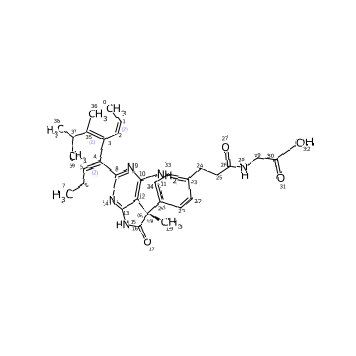 C\C=C/C(C(=C/CC)/c1nc(N)c2c(n1)NC(=O)[C@@]2(C)c1ccc(CCC(=O)NCC(=O)O)cc1)=C(\C)C(C)C